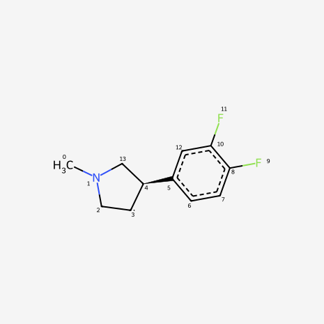 CN1C[CH][C@H](c2ccc(F)c(F)c2)C1